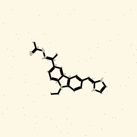 CCn1c2ccc(/C=C3\OC=CS3)cc2c2cc(/C(C)=N/OC(C)=O)ccc21